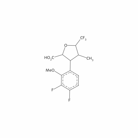 COc1c(C2C(C(=O)O)OC(C(F)(F)F)C2C)ccc(F)c1F